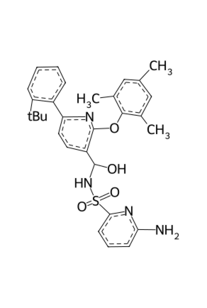 Cc1cc(C)c(Oc2nc(-c3ccccc3C(C)(C)C)ccc2C(O)NS(=O)(=O)c2cccc(N)n2)c(C)c1